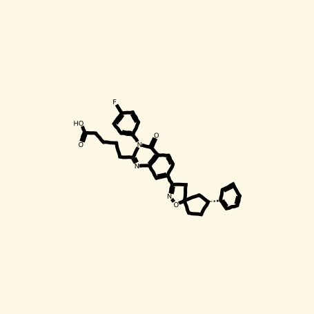 O=C(O)CCCCc1nc2cc(C3=NOC4(CC[C@@H](c5ccccc5)C4)C3)ccc2c(=O)n1-c1ccc(F)cc1